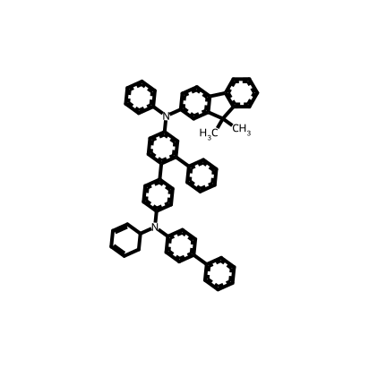 CC1(C)c2ccccc2-c2ccc(N(c3ccccc3)c3ccc(-c4ccc(N(c5ccc(-c6ccccc6)cc5)C5C=CC=CC5)cc4)c(-c4ccccc4)c3)cc21